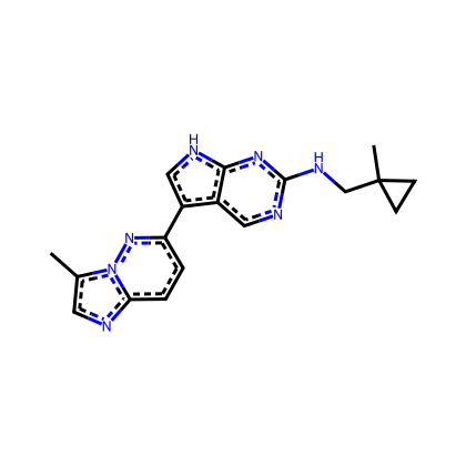 Cc1cnc2ccc(-c3c[nH]c4nc(NCC5(C)CC5)ncc34)nn12